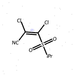 CC(C)S(=O)(=O)/C(Cl)=C(/Cl)C#N